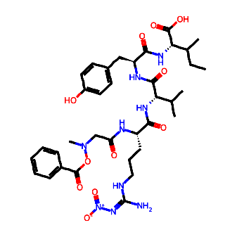 CCC(C)[C@H](NC(=O)[C@H](Cc1ccc(O)cc1)NC(=O)[C@@H](NC(=O)[C@H](CCCN/C(N)=N\[N+](=O)[O-])NC(=O)CN(C)OC(=O)c1ccccc1)C(C)C)C(=O)O